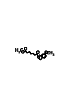 COC(=O)CCCCCC(=O)N1CCc2ccc(OC)cc21